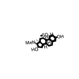 CN[C@H]1[C@H](O)C[C@H]2[C@@H]3CCc4cc(O)ccc4[C@H]3CC[C@@]21C.CS(=O)(=O)O